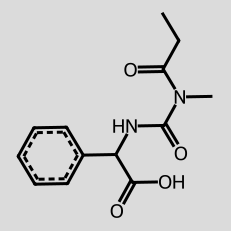 CCC(=O)N(C)C(=O)NC(C(=O)O)c1ccccc1